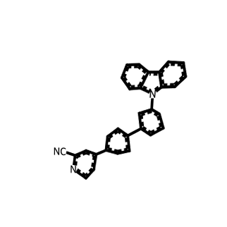 N#Cc1cc(-c2ccc(-c3cccc(-n4c5ccccc5c5ccccc54)c3)cc2)ccn1